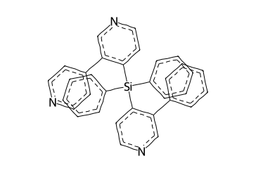 c1ccc(-c2cnccc2[Si](c2ccccc2)(c2ccccc2)c2ccncc2-c2ccncc2)cc1